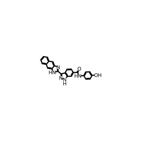 O=C(Nc1ccc(O)cc1)c1ccc2c(-c3nc4cc5ccccc5cc4[nH]3)n[nH]c2c1